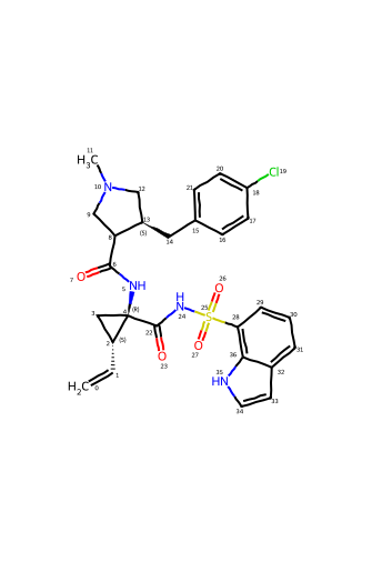 C=C[C@@H]1C[C@]1(NC(=O)C1CN(C)C[C@H]1Cc1ccc(Cl)cc1)C(=O)NS(=O)(=O)c1cccc2cc[nH]c12